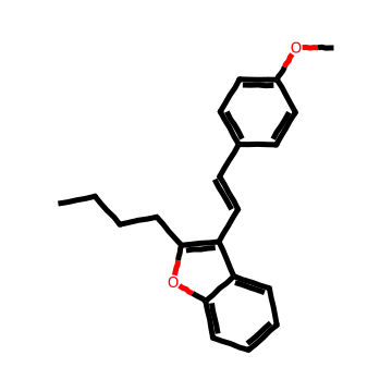 CCCCc1oc2ccccc2c1C=Cc1ccc(OC)cc1